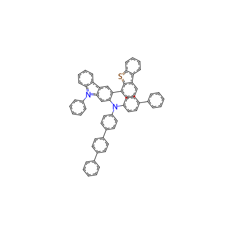 c1ccc(-c2ccc(-c3ccc(N(c4ccc(-c5ccccc5)cc4)c4cc5c(cc4-c4cccc6c4sc4ccccc46)c4ccccc4n5-c4ccccc4)cc3)cc2)cc1